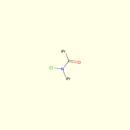 CC(C)C(=O)N(Cl)C(C)C